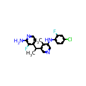 Cc1c(Nc2ccc(Cl)cc2F)cncc1C(C)c1ccnc(N)c1F